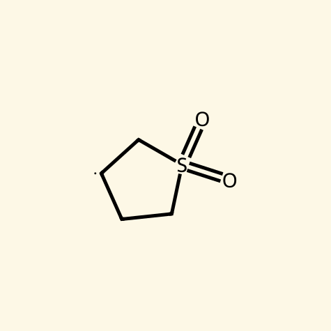 O=S1(=O)C[CH]CC1